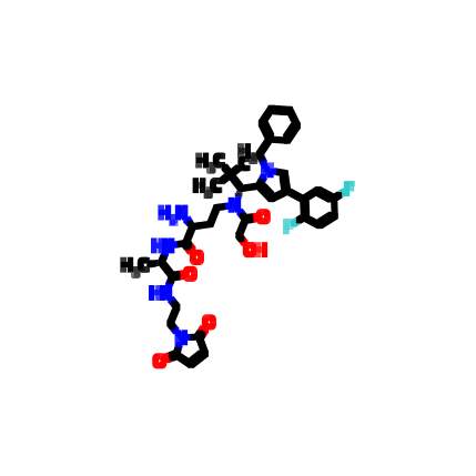 C[C@@H](NC(=O)[C@@H](N)CCN(C(=O)CO)[C@@H](c1cc(-c2cc(F)ccc2F)cn1Cc1ccccc1)C(C)(C)C)C(=O)NCCN1C(=O)C=CC1=O